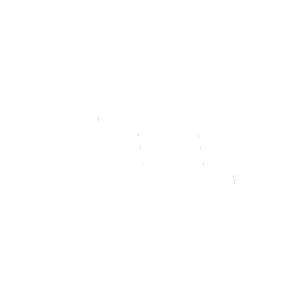 OC1CC[C](F)CC1